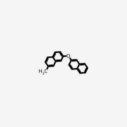 Cc1ccc2ccc(Oc3ccc4ccccc4c3)cc2c1